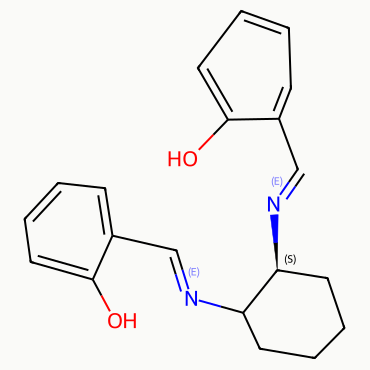 Oc1ccccc1/C=N/C1CCCC[C@@H]1/N=C/c1ccccc1O